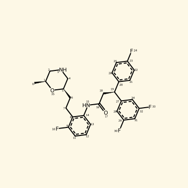 [CH2][C@H]1CNC[C@@H](CCc2c(F)cccc2NC(=O)C[C@@H](c2ccc(F)cc2)c2cc(F)cc(F)c2)O1